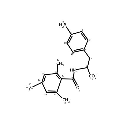 Bc1ccc(CC(NC(=O)c2c(C)cc(C)cc2C)C(=O)O)cc1